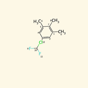 Cc1cccc(C)c1C.FC(F)Cl